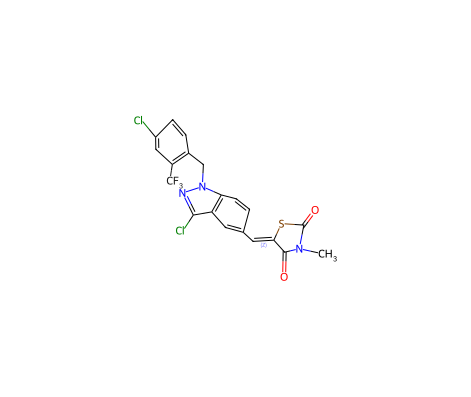 CN1C(=O)S/C(=C\c2ccc3c(c2)c(Cl)nn3Cc2ccc(Cl)cc2C(F)(F)F)C1=O